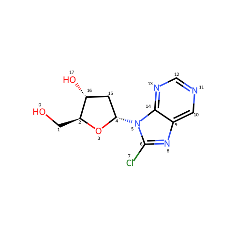 OC[C@@H]1O[C@@H](n2c(Cl)nc3cncnc32)C[C@H]1O